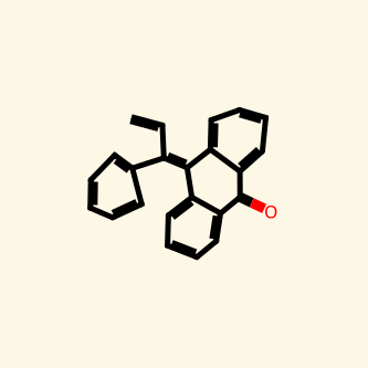 C=CC(=C1c2ccccc2C(=O)c2ccccc21)c1ccccc1